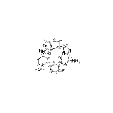 C[C@]1(O)CC[C@@H](NS(=O)(=O)c2cc(-c3cnc4c(N)nc(-c5ccncc5F)cn34)ccc2F)CC1